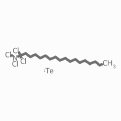 CCCCCCCCCCCCCCCCCC(Cl)(Cl)N(Cl)Cl.[Te]